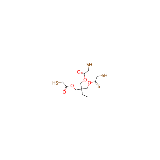 CCC(COC(=O)CS)(COC(=O)CS)COC(=S)CS